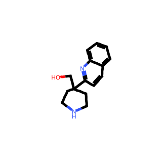 OCC1(c2c[c]c3ccccc3n2)CCNCC1